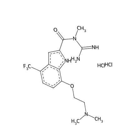 CN(C)CCOc1ccc(C(F)(F)F)c2cc(C(=O)N(C)C(=N)N)[nH]c12.Cl.Cl